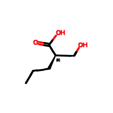 CCC[C@H](CO)C(=O)O